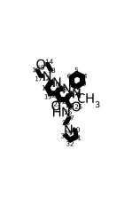 Cn1c2ccccc2n2c3nc(N4CCOCC4)ccc3c(=O)c(C(=O)NCCN3CC=CC3)c12